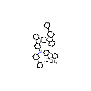 CC1(C)c2ccccc2-c2ccc(N(c3cccc(-c4ccccc4)c3)c3ccc4c(c3)C3(CCC5(CC3)c3ccccc3-c3ccc(-c6ccccc6)cc35)c3ccccc3-4)cc21